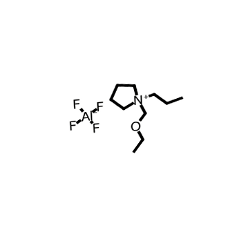 CCC[N+]1(COCC)CCCC1.[F][Al-]([F])([F])[F]